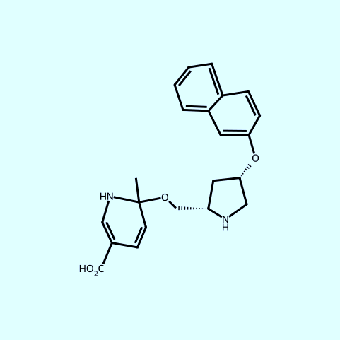 CC1(OC[C@@H]2C[C@H](Oc3ccc4ccccc4c3)CN2)C=CC(C(=O)O)=CN1